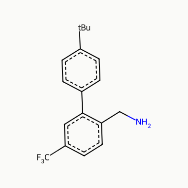 CC(C)(C)c1ccc(-c2cc(C(F)(F)F)ccc2CN)cc1